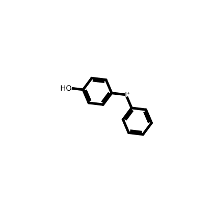 Oc1ccc([I+]c2ccccc2)cc1